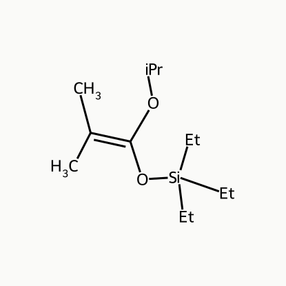 CC[Si](CC)(CC)OC(OC(C)C)=C(C)C